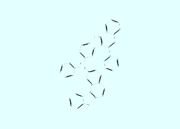 c1ccc(-c2cc3ccccc3c3sc4ccc(N(c5ccccc5)c5ccc6ccc7oc8ccccc8c7c6c5)cc4c23)cc1